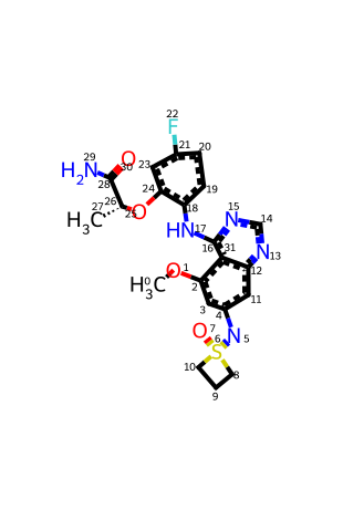 COc1cc(N=S2(=O)CCC2)cc2ncnc(Nc3ccc(F)cc3O[C@H](C)C(N)=O)c12